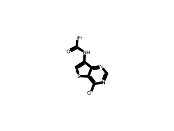 CC(C)C(=O)Nc1csc2c(Cl)ncnc12